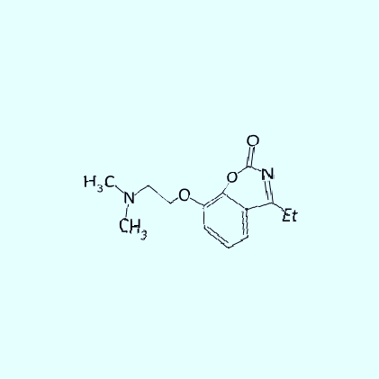 CCc1nc(=O)oc2c(OCCN(C)C)cccc12